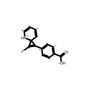 O=C(O)c1ccc(C2=C(F)C23C=CC=CN3)cc1